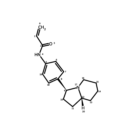 C=CC(=O)Nc1ccc([C@@H]2CC[C@H]3CCCCN32)cc1